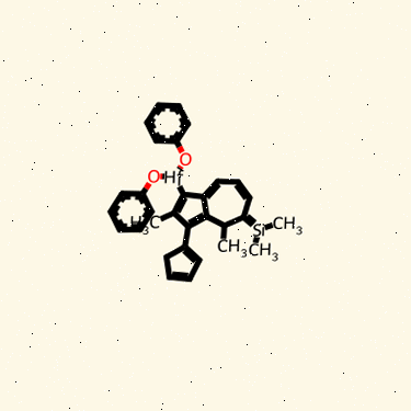 CC1=[C]([Hf]([O]c2ccccc2)[O]c2ccccc2)C2=CC=CC(=[Si](C)C)C(C)C2=C1C1=CC=CC1